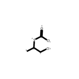 CC(CCl)SC(=O)Cl